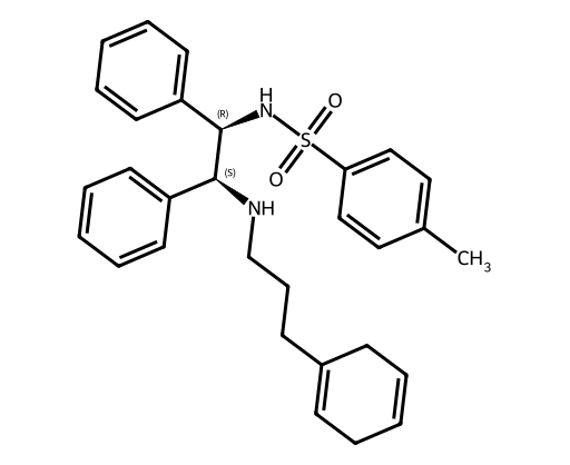 Cc1ccc(S(=O)(=O)N[C@H](c2ccccc2)[C@@H](NCCCC2=CCC=CC2)c2ccccc2)cc1